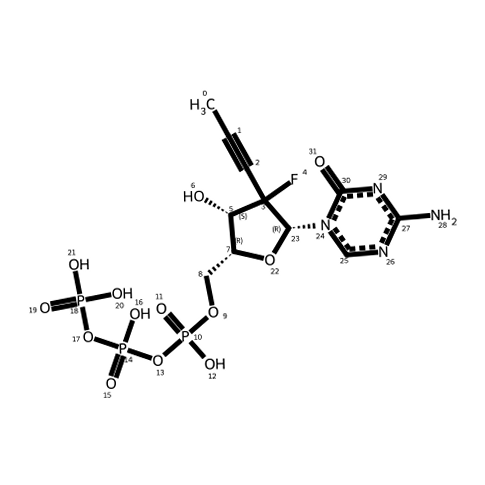 CC#CC1(F)[C@@H](O)[C@@H](COP(=O)(O)OP(=O)(O)OP(=O)(O)O)O[C@H]1n1cnc(N)nc1=O